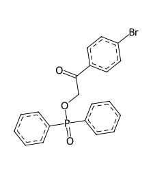 O=C(COP(=O)(c1ccccc1)c1ccccc1)c1ccc(Br)cc1